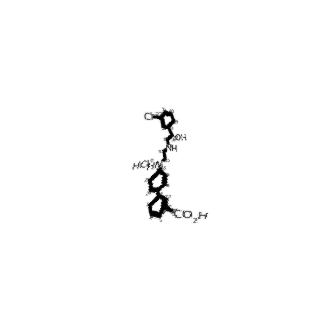 Cl.O=C(O)c1cccc(-c2ccc(NCCNC[C@@H](O)c3cccc(Cl)c3)cc2)c1